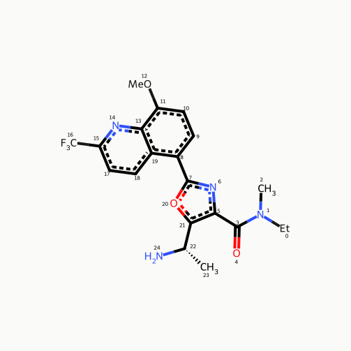 CCN(C)C(=O)c1nc(-c2ccc(OC)c3nc(C(F)(F)F)ccc23)oc1[C@H](C)N